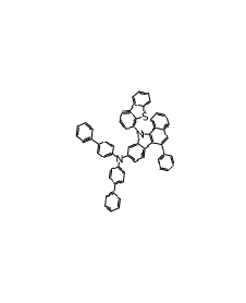 c1ccc(-c2ccc(N(c3ccc(-c4ccccc4)cc3)c3ccc4c5c(-c6ccccc6)cc6ccccc6c5n(-c5cccc6c5sc5ccccc56)c4c3)cc2)cc1